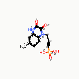 O=c1[nH]c2cc(C(F)(F)F)ccc2n(CC#CP(=O)(O)O)c1=O